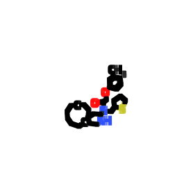 Cc1cccc(OCC(=O)N(CC2CCCS2)C2CC3(CCCCCCCCC3)CCN2)c1